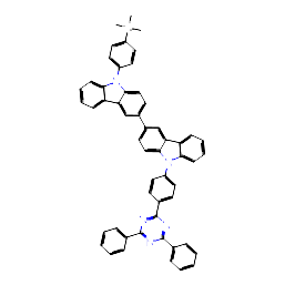 C[Si](C)(C)c1ccc(-n2c3ccccc3c3cc(-c4ccc5c(c4)c4ccccc4n5-c4ccc(-c5nc(-c6ccccc6)nc(-c6ccccc6)n5)cc4)ccc32)cc1